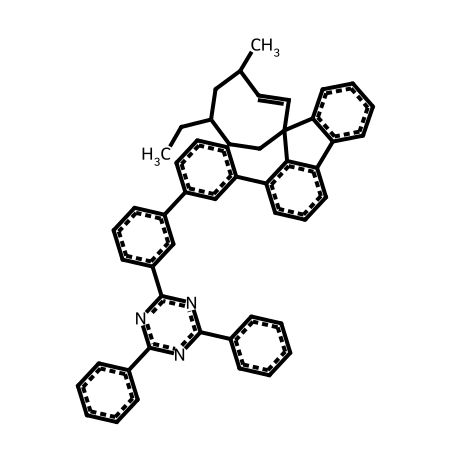 CCC1CCC2(/C=C/C(C)C1)c1ccccc1-c1cccc(-c3cccc(-c4cccc(-c5nc(-c6ccccc6)nc(-c6ccccc6)n5)c4)c3)c12